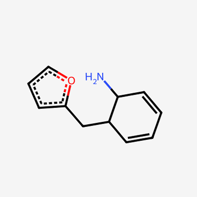 NC1C=CC=CC1Cc1ccco1